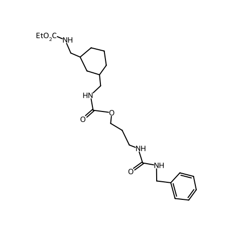 CCOC(=O)NCC1CCCC(CNC(=O)OCCCNC(=O)NCc2ccccc2)C1